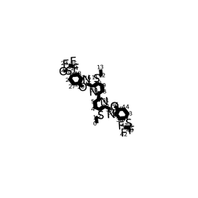 CCSc1ccc(-c2ccc(SCC)c(-c3nc4cc([S+]([O-])C(F)(F)F)ccc4o3)n2)nc1-c1nc2cc(SC(F)(F)F)ccc2o1